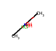 CCCCCCCCCCCCCCCCCCCCCCN(CCCCCCCCCCCCCCCCCCCCCC)CC(O)O.Cl